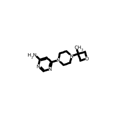 CC1(N2CCN(c3cc(N)ncn3)CC2)COC1